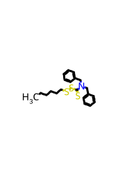 CCCCCCSSC(=S)N(Cc1ccccc1)Cc1ccccc1